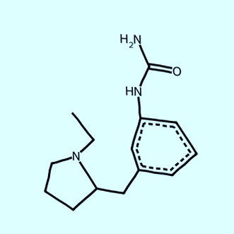 CCN1CCCC1Cc1cccc(NC(N)=O)c1